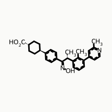 Cc1cc(-c2cccc([C@@H](C)/C(=N\O)c3ccc([C@H]4CC[C@H](C(=O)O)CC4)cc3)c2C)ccn1